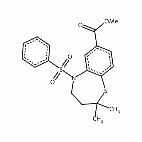 COC(=O)c1ccc2c(c1)N(S(=O)(=O)c1ccccc1)CCC(C)(C)S2